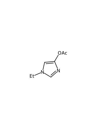 CCn1cnc(OC(C)=O)c1